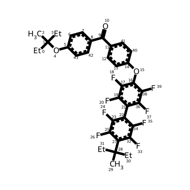 CCC(C)(CC)Oc1ccc(C(=O)c2ccc(Oc3c(F)c(F)c(-c4c(F)c(F)c(C(C)(CC)CC)c(F)c4F)c(F)c3F)cc2)cc1